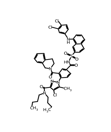 CCCCN(CCCC)C(=O)c1nn(-c2ccc(C(=O)NS(=O)(=O)c3ccc4cccc(Nc5ccc(Cl)c(Cl)c5)c4c3)cc2C(=O)N2CCc3ccccc3C2)c(C)c1Cl